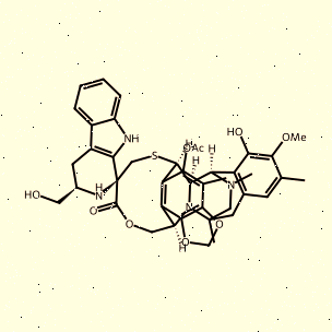 COc1c(C)cc2c(c1O)[C@@H]1[C@@H]3[C@@H]4SC[C@]5(N[C@@H](CO)Cc6c5[nH]c5ccccc65)C(=O)OC[C@@H](c5c6c(c(C)c(OC(C)=O)c54)OCO6)N3C(C)(C2)CN1C